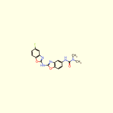 CN(C)C(=O)Nc1ccc2oc(Nc3nc4cc(F)ccc4o3)nc2c1